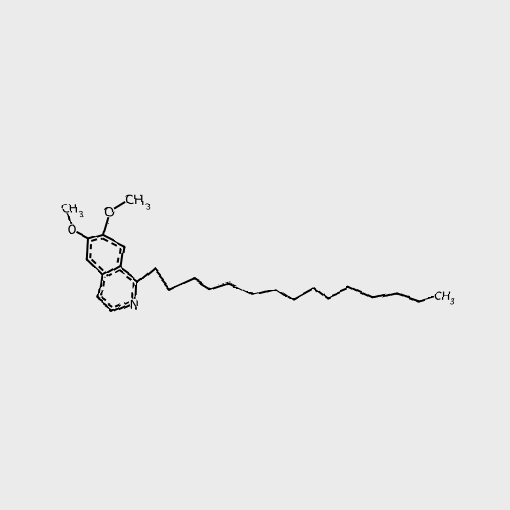 CCCCCCCCCCCCCCCc1nccc2cc(OC)c(OC)cc12